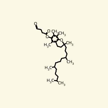 Cc1c(C)c2c(c(C)c1OC(=O)CCC=O)CCC(C)(CCCC(C)CCCC(C)CCCC(C)C)O2